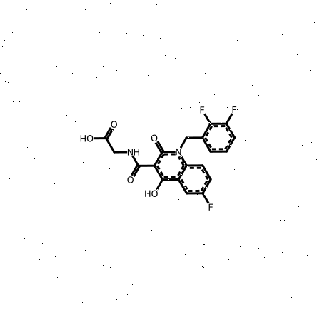 O=C(O)CNC(=O)c1c(O)c2cc(F)ccc2n(Cc2cccc(F)c2F)c1=O